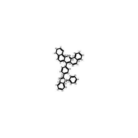 C1=Cc2c(ccc3c(-c4ccc(-c5nc6ccccc6n5-c5ccccc5)cc4)c4ccc5ccccc5c4nc23)CC1